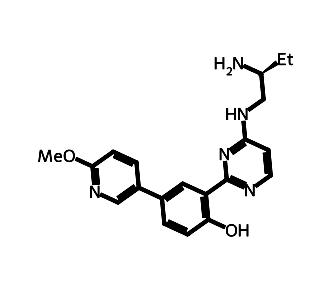 CC[C@H](N)CNc1ccnc(-c2cc(-c3ccc(OC)nc3)ccc2O)n1